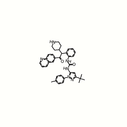 Cc1ccc(-n2nc(C(C)(C)C)cc2NC(=O)Nc2ccccc2C(C(=O)c2ccc3ncccc3c2)C2CCNCC2)cc1